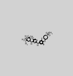 CC1(C)CC(Nc2nc(Nc3cc(F)c(OC4CCCN(S(C)(=O)=O)CC4)c(F)c3)ncc2F)CC(C)(C)N1